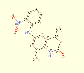 Cc1cc(Nc2ccccc2[N+](=O)[O-])cc2c1NC(=O)CC2C